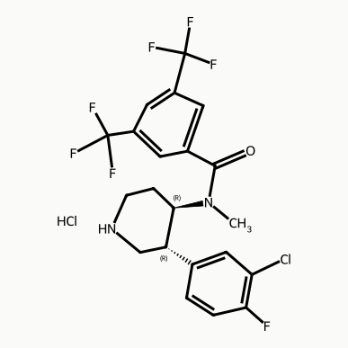 CN(C(=O)c1cc(C(F)(F)F)cc(C(F)(F)F)c1)[C@@H]1CCNC[C@H]1c1ccc(F)c(Cl)c1.Cl